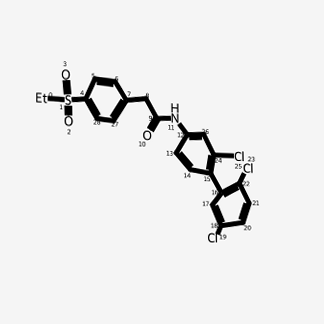 CCS(=O)(=O)c1ccc(CC(=O)Nc2ccc(-c3cc(Cl)ccc3Cl)c(Cl)c2)cc1